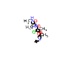 CSc1cc(C)[nH]c(=O)c1CNC(=O)c1cc(Cl)c2c(c1C)O[C@](C)(C1CCN(CC3CCC3)CC1)O2